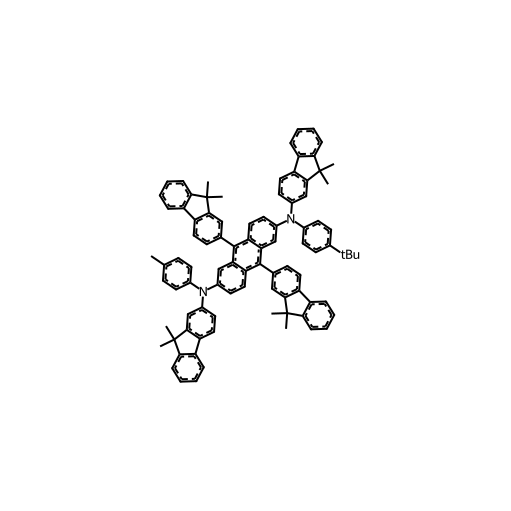 Cc1ccc(N(c2ccc3c(c2)C(C)(C)c2ccccc2-3)c2ccc3c(-c4ccc5c(c4)C(C)(C)c4ccccc4-5)c4cc(N(c5ccc(C(C)(C)C)cc5)c5ccc6c(c5)C(C)(C)c5ccccc5-6)ccc4c(-c4ccc5c(c4)C(C)(C)c4ccccc4-5)c3c2)cc1